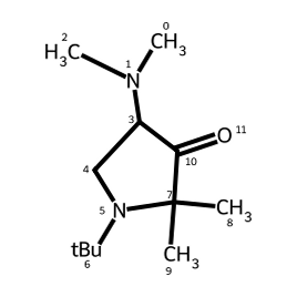 CN(C)C1CN(C(C)(C)C)C(C)(C)C1=O